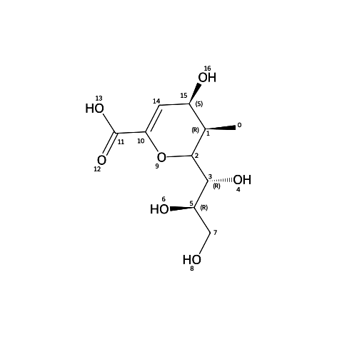 C[C@H]1C([C@H](O)[C@H](O)CO)OC(C(=O)O)=C[C@H]1O